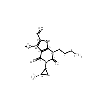 CCCCn1c(=O)n([C@H]2C[C@@H]2C)c(=O)c2c(C)c(C=O)sc21